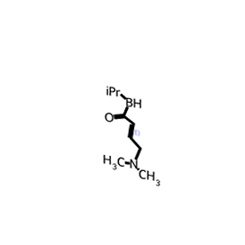 CC(C)BC(=O)/C=C/CN(C)C